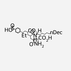 CCCCCCCCCCCCCCCCNC(=O)C(CC(CC(C)C(=O)O)C(N)=O)CC(CC(CC)c1ccc(S(=O)O)cc1)C(=O)O